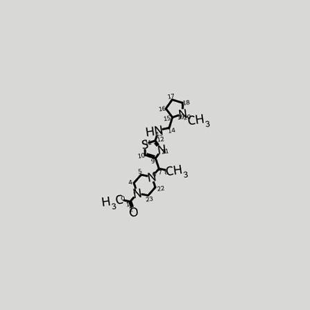 CC(=O)N1CCN(C(C)c2csc(NCC3CCCN3C)n2)CC1